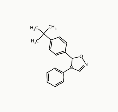 CC(C)(C)c1ccc(C2ON=CN2c2ccccc2)cc1